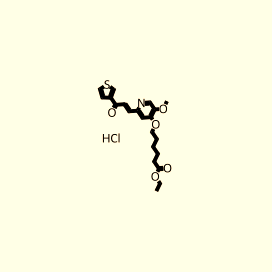 CCOC(=O)CCCCCOc1cc(C=CC(=O)c2ccsc2)ncc1OC.Cl